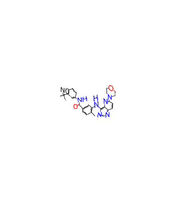 [C-]#[N+]C(C)(C)c1cccc(NC(=O)c2ccc(C)c(Nc3ncnc4ccc(N5CCOCC5)nc34)c2)c1